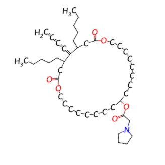 C=C=C=C=C1C(CCCCC)CC(=O)OCCCCCCCCC(OC(=O)CN2CCCC2)CCCCCCCCOC(=O)CC1CCCCC